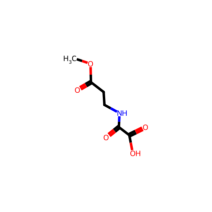 COC(=O)CCNC(=O)C(=O)O